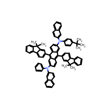 CC(C)(C)c1ccc(N(c2ccc3ccccc3c2)c2ccc3c(-c4ccc5c(c4)C(C)(C)c4ccccc4-5)c4cc(N(c5ccccc5)c5ccc6ccccc6c5)ccc4c(-c4ccc5c(c4)C(C)(C)c4ccccc4-5)c3c2)cc1